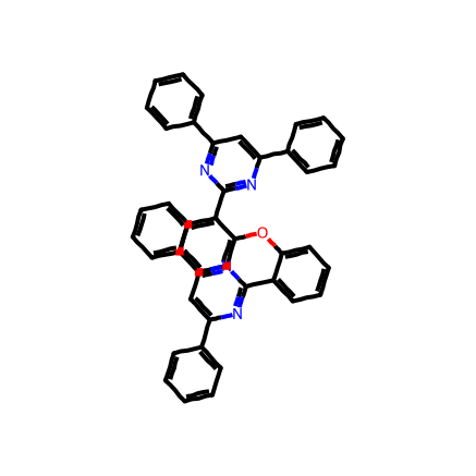 c1ccc(-c2cc(-c3ccccc3)nc(-c3ccccc3Oc3ccccc3-c3nc(-c4ccccc4)cc(-c4ccccc4)n3)n2)cc1